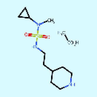 CC(=O)O.CN(C1CC1)S(=O)(=O)NCCC1CCNCC1